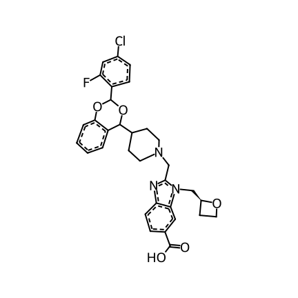 O=C(O)c1ccc2nc(CN3CCC(C4OC(c5ccc(Cl)cc5F)Oc5ccccc54)CC3)n(C[C@@H]3CCO3)c2c1